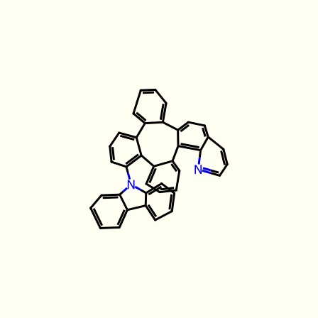 c1ccc2c(c1)-c1cccc(-n3c4ccccc4c4ccccc43)c1-c1ccccc1-c1c-2ccc2cccnc12